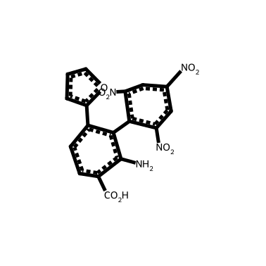 Nc1c(C(=O)O)ccc(-c2ccco2)c1-c1c([N+](=O)[O-])cc([N+](=O)[O-])cc1[N+](=O)[O-]